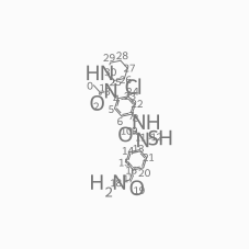 CC(=O)N(c1ccc(NC(=O)N(S)c2ccc(C(N)=O)cc2)cc1Cl)C1CCCCN1